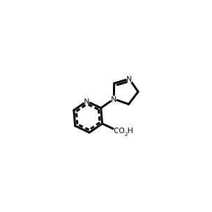 O=C(O)c1cccnc1N1C=NCC1